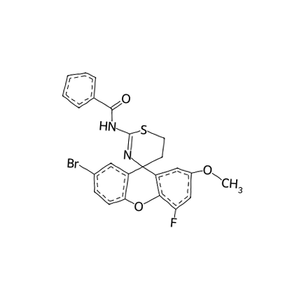 COc1cc(F)c2c(c1)C1(CCSC(NC(=O)c3ccccc3)=N1)c1cc(Br)ccc1O2